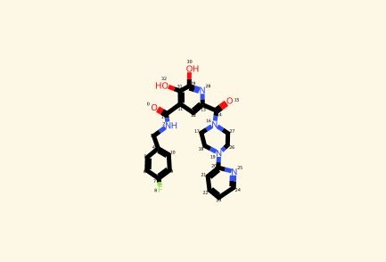 O=C(NCc1ccc(F)cc1)c1cc(C(=O)N2CCN(c3ccccn3)CC2)nc(O)c1O